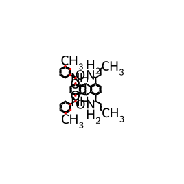 CCCCNc1ccc(NCCCC)c2c1C1c3c(C(N)CCC)ccc(C(N)CCC)c3C2C(OC(=O)c2ccccc2)C1OC(=O)c1ccccc1